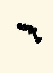 Cc1ccccc1-c1nc(CN2CCC(C(=O)NCCCCN3CC(C)CC(C)C3)CC2)c(C)o1